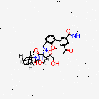 CNC(=O)c1cc(C(C)=O)cc(-c2cccc(CN3O[C@@H](CO)[C@@H]([C@H](C)O)[C@H]3C(=O)N[C@H]3C[C@H]4C[C@@H]([C@@H]3C)C4(C)C)c2OC)c1